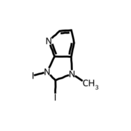 CN1c2cccnc2N(I)C1I